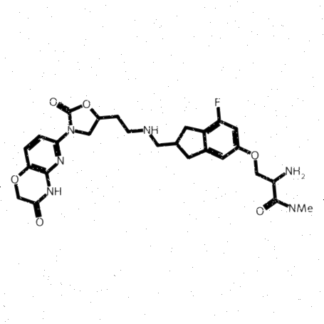 CNC(=O)C(N)COc1cc(F)c2c(c1)CC(CNCCC1CN(c3ccc4c(n3)NC(=O)CO4)C(=O)O1)C2